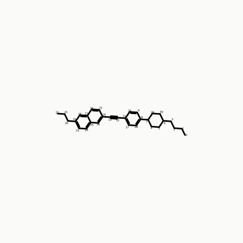 CCCCC1CCC(c2ccc(C#Cc3ccc4cc(CCC)ccc4c3)cc2)CC1